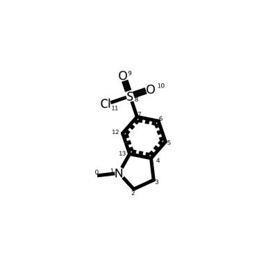 CN1CCc2ccc(S(=O)(=O)Cl)cc21